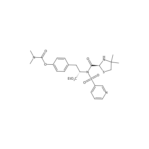 CCOC(=O)[C@H](Cc1ccc(OC(=O)N(C)C)cc1)N(C(=O)[C@H]1NC(C)(C)CS1)S(=O)(=O)c1cccnc1